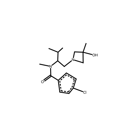 CC(C)C(CN1CC(C)(O)C1)N(C)C(=O)c1ccc(Cl)cc1